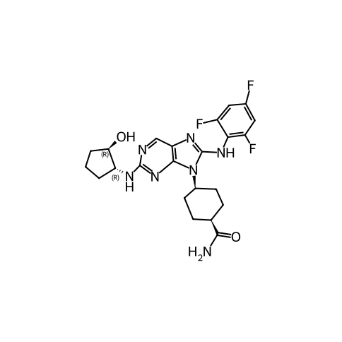 NC(=O)[C@H]1CC[C@@H](n2c(Nc3c(F)cc(F)cc3F)nc3cnc(N[C@@H]4CCC[C@H]4O)nc32)CC1